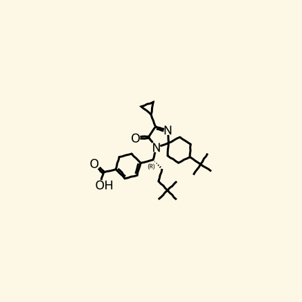 CC(C)(C)CC[C@H](C1=CC=C(C(=O)O)CC1)N1C(=O)C(C2CC2)=NC12CCC(C(C)(C)C)CC2